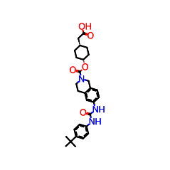 CC(C)(C)c1ccc(NC(=O)Nc2ccc3c(c2)CCN(C(=O)O[C@H]2CC[C@H](CC(=O)O)CC2)C3)cc1